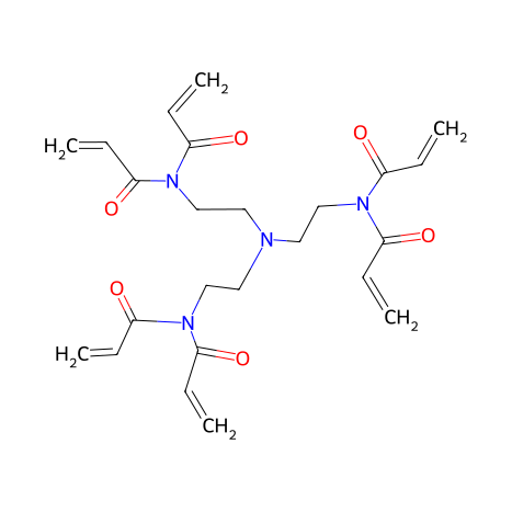 C=CC(=O)N(CCN(CCN(C(=O)C=C)C(=O)C=C)CCN(C(=O)C=C)C(=O)C=C)C(=O)C=C